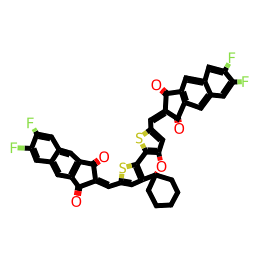 O=C1C(=Cc2cc3c(s2)-c2sc(C=C4C(=O)c5cc6cc(F)c(F)cc6cc5C4=O)cc2C2(CCCCC2)O3)C(=O)c2cc3cc(F)c(F)cc3cc21